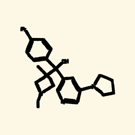 CC(C)c1ccc(C(O)(c2cncc(N3CCCC3)c2)C2(C)CN(C)C2)cc1